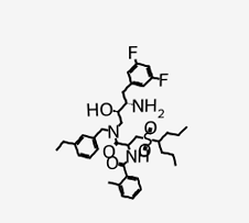 CCCC(CCC)S(=O)(=O)CC(NC(=O)c1ccccc1C)C(=O)N(Cc1cccc(CC)c1)C[C@@H](O)[C@@H](N)Cc1cc(F)cc(F)c1